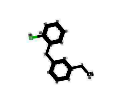 N#CCc1cccc(Cc2ccccc2Cl)c1